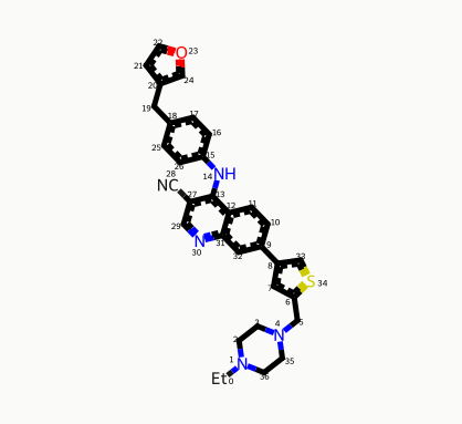 CCN1CCN(Cc2cc(-c3ccc4c(Nc5ccc(Cc6ccoc6)cc5)c(C#N)cnc4c3)cs2)CC1